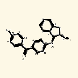 NC1Cc2ccccc2C1Oc1ccc(C(=O)c2ccc(F)cc2)cc1